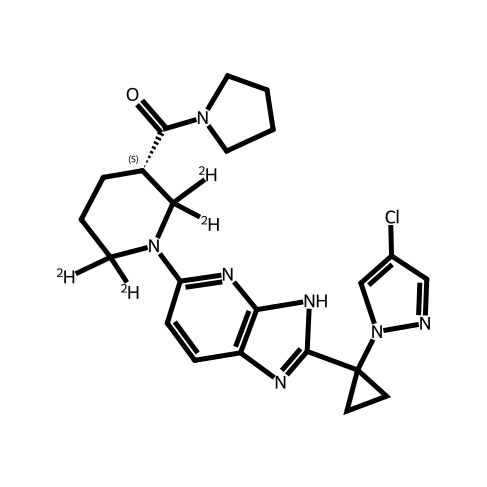 [2H]C1([2H])CC[C@H](C(=O)N2CCCC2)C([2H])([2H])N1c1ccc2nc(C3(n4cc(Cl)cn4)CC3)[nH]c2n1